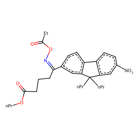 CCCOC(=O)CCC/C(=N/OC(=O)CC)c1ccc2c(c1)C(CCC)(CCC)c1cc([N+](=O)[O-])ccc1-2